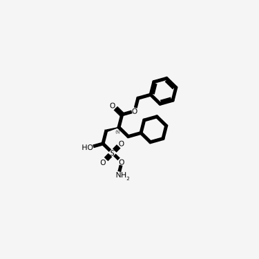 NOS(=O)(=O)C(O)C[C@H](CC1CCCCC1)C(=O)OCc1ccccc1